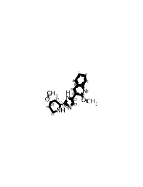 COc1nc2ccccc2cc1-c1cnc([C@@H]2C[C@H](OC)CCN2)[nH]1